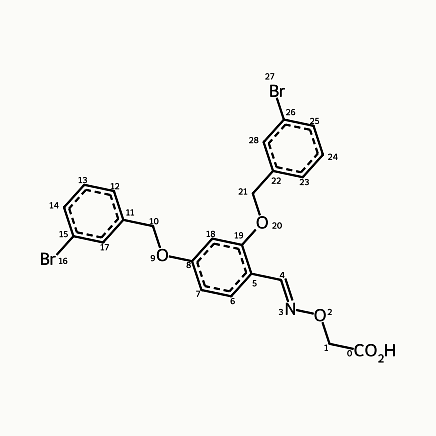 O=C(O)CON=Cc1ccc(OCc2cccc(Br)c2)cc1OCc1cccc(Br)c1